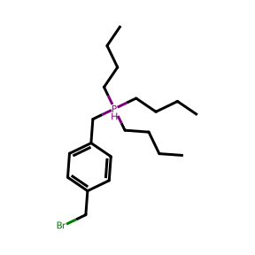 CCCC[PH](CCCC)(CCCC)Cc1ccc(CBr)cc1